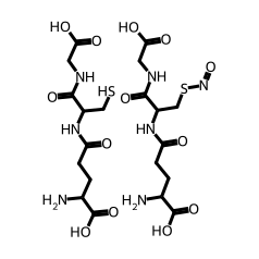 NC(CCC(=O)NC(CS)C(=O)NCC(=O)O)C(=O)O.NC(CCC(=O)NC(CSN=O)C(=O)NCC(=O)O)C(=O)O